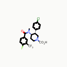 CN(C(=O)c1ccc(F)c(C(F)(F)F)c1)[C@@H]1CCN(C(=O)O)C[C@H]1c1ccc(Cl)cc1